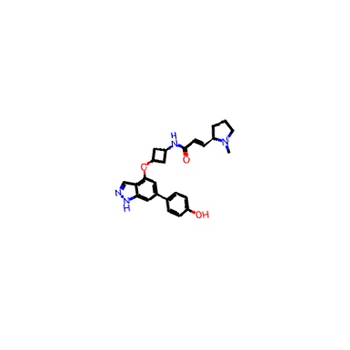 CN1CCC[C@@H]1/C=C/C(=O)NC1CC(Oc2cc(-c3ccc(O)cc3)cc3[nH]ncc23)C1